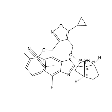 Cc1cccc(C)c1OCc1noc(C2CC2)c1CO[C@@H]1C[C@H]2CC[C@@H](C1)[C@]2(O)c1nc2c(F)cc(C#N)cc2s1